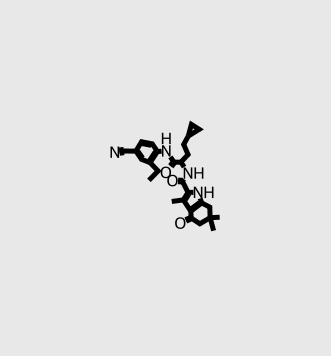 CCc1cc(C#N)ccc1NC(=O)C(CCC1CC1)NC(=O)c1[nH]c2c(c1C)C(=O)CC(C)(C)C2